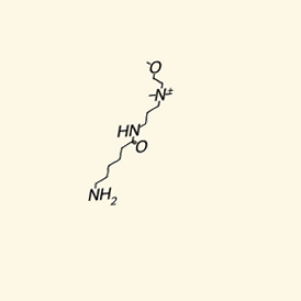 COCC[N+](C)(C)CCCNC(=O)CCCCCN